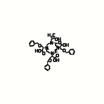 CC(O)CN1CCN(C(COCc2ccccc2)C(=O)O)CCN(C(COCc2ccccc2)C(=O)O)CCN(C(COCc2ccccc2)C(=O)O)CC1